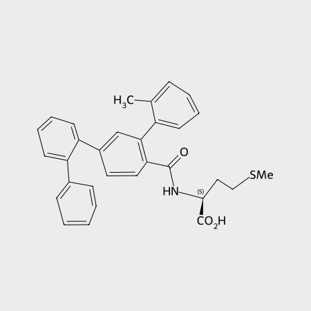 CSCC[C@H](NC(=O)c1ccc(-c2ccccc2-c2ccccc2)cc1-c1ccccc1C)C(=O)O